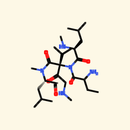 CCC(N)C(=O)N(C(=O)[C@H](CC(C)C)NC)[C@](C(=O)CNC)(C(=O)N(C)[C@H]([C]=O)CC(C)C)C(C)C